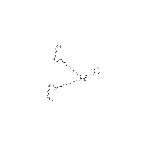 CCCCC/C=C\C/C=C\CCCCCCCCCCN(CCCCCCCCCC/C=C\C/C=C\CCCCC)C(=O)OCCCN1CCCCCC1